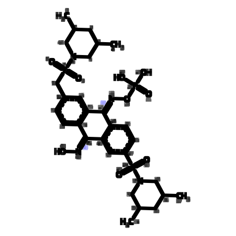 CC1CC(C)CN(S(=O)(=O)Cc2ccc3c(c2)/C(=N/OP(=O)(O)O)c2ccc(S(=O)(=O)N4CC(C)CC(C)C4)cc2/C3=N/O)C1